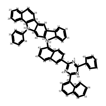 c1ccc(-c2nc(-c3ccc4c(-n5c6ccccc6c6cc7c8ccc9ccccc9c8n(-c8ccccc8)c7cc65)cccc4c3)nc(-c3cccc4ccccc34)n2)cc1